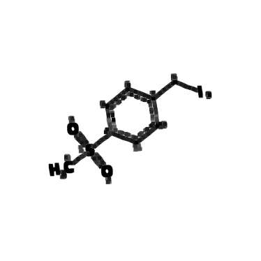 CS(=O)(=O)c1ccc(CI)cc1